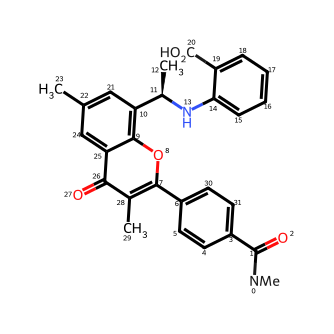 CNC(=O)c1ccc(-c2oc3c([C@@H](C)Nc4ccccc4C(=O)O)cc(C)cc3c(=O)c2C)cc1